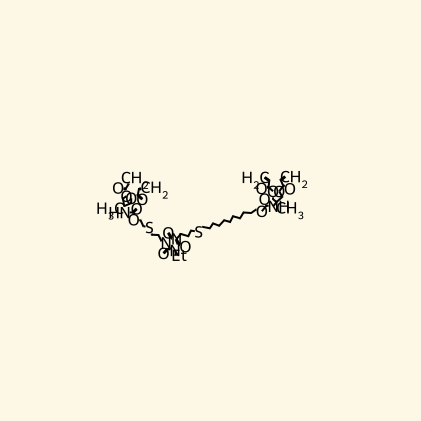 C=CC(=O)OCC(C)(COC(=O)C=C)NC(=O)OCCCCCCCCCCCSCCCn1c(=O)n(CC)c(=O)n(CCCSCCOC(=O)NC(C)(COC(=O)C=C)COC(=O)C=C)c1=O